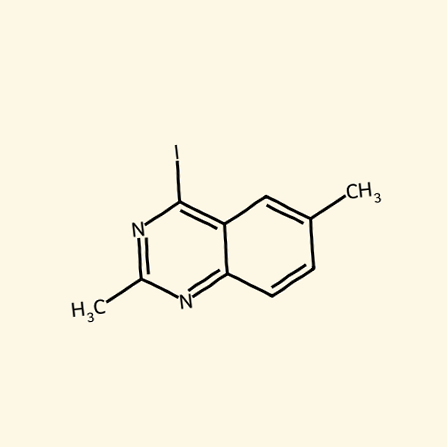 Cc1ccc2nc(C)nc(I)c2c1